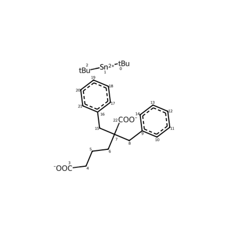 C[C](C)(C)[Sn+2][C](C)(C)C.O=C([O-])CCCC(Cc1ccccc1)(Cc1ccccc1)C(=O)[O-]